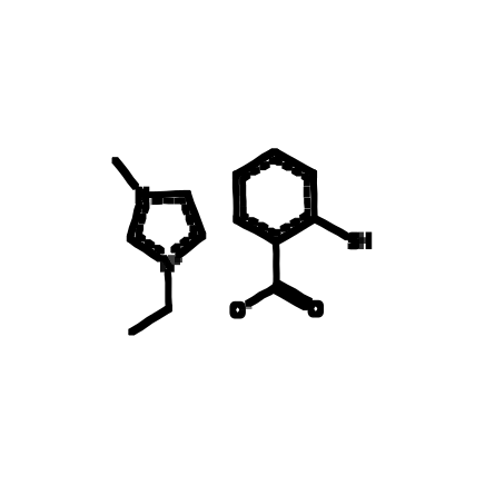 CC[n+]1ccn(C)c1.O=C([O-])c1ccccc1S